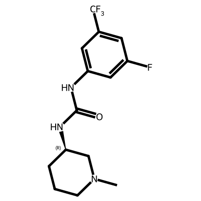 CN1CCC[C@@H](NC(=O)Nc2cc(F)cc(C(F)(F)F)c2)C1